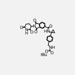 CC(C)(C)OC(=O)NCc1ccc(C2(NC(=O)c3ccc4c(c3)C(=O)N(C3CCC(=O)NC3=O)C4=O)CC2)cc1